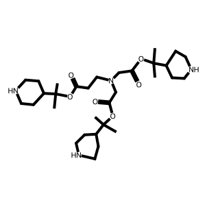 CC(C)(OC(=O)CCN(CC(=O)OC(C)(C)C1CCNCC1)CC(=O)OC(C)(C)C1CCNCC1)C1CCNCC1